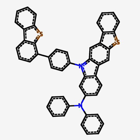 c1ccc(N(c2ccccc2)c2ccc3c4cc5sc6ccccc6c5cc4n(-c4ccc(-c5cccc6c5sc5ccccc56)cc4)c3c2)cc1